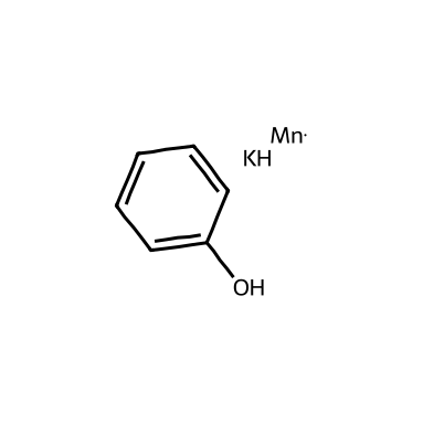 Oc1ccccc1.[KH].[Mn]